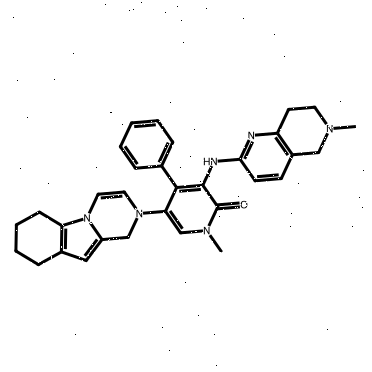 CN1CCc2nc(Nc3c(-c4ccccc4)c(N4C=Cn5c(cc6c5CCCC6)C4)cn(C)c3=O)ccc2C1